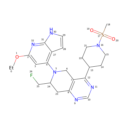 CCOc1cc(N2Cc3c(ncnc3C3CCN(S(C)(=O)=O)CC3)CC2CF)c2cc[nH]c2n1